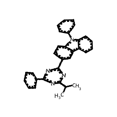 CC(C)c1nc(-c2ccccc2)nc(-c2ccc3c(c2)c2ccccc2n3-c2ccccc2)n1